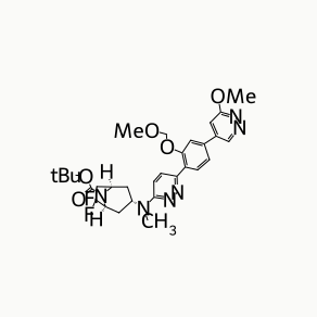 COCOc1cc(-c2cnnc(OC)c2)ccc1-c1ccc(N(C)[C@H]2C[C@@H]3CC(F)(F)[C@H](C2)N3C(=O)OC(C)(C)C)nn1